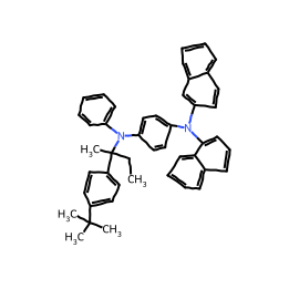 CCC(C)(c1ccc(C(C)(C)C)cc1)N(c1ccccc1)c1ccc(N(c2ccc3ccccc3c2)c2cccc3ccccc23)cc1